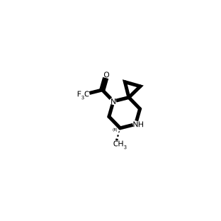 C[C@@H]1CN(C(=O)C(F)(F)F)C2(CC2)CN1